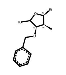 CC[C@@H]1OC(O)[C@H](OCc2ccccc2)[C@@H]1C